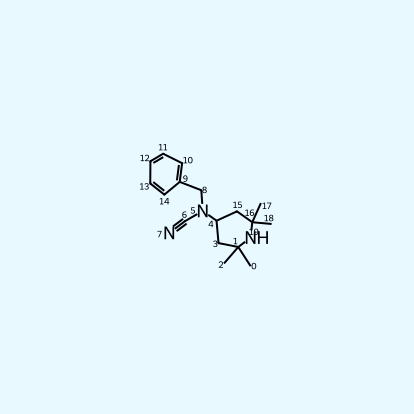 CC1(C)CC(N(C#N)Cc2ccccc2)CC(C)(C)N1